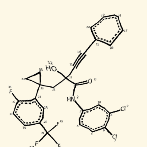 O=C(Nc1ccc(Cl)c(Cl)c1)C(O)(C#Cc1ccccc1)CC1(c2cc(C(F)(F)F)ccc2F)CC1